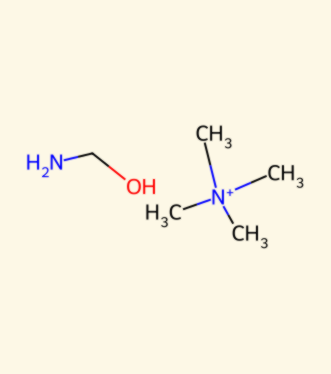 C[N+](C)(C)C.NCO